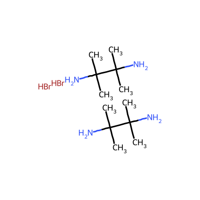 Br.Br.CC(C)(N)C(C)(C)N.CC(C)(N)C(C)(C)N